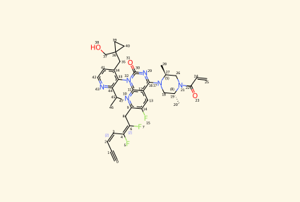 C#C/C=C\C(F)=C(\F)Cc1nc2c(cc1F)c(N1C[C@@H](C)N(C(=O)C=C)C[C@@H]1C)nc(=O)n2-c1c(CC2(CO)CC2)ccnc1C(C)C